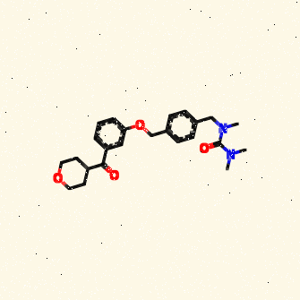 CN(C)C(=O)N(C)Cc1ccc(COc2cccc(C(=O)C3CCOCC3)c2)cc1